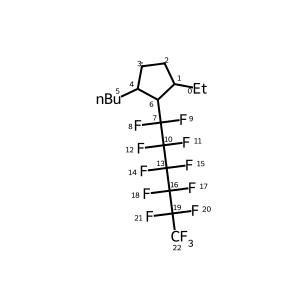 [CH2]CC1C[CH]C(CCCC)C1C(F)(F)C(F)(F)C(F)(F)C(F)(F)C(F)(F)C(F)(F)F